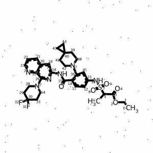 CCOC(=O)C(C)S(=O)(=O)Nc1ccc(C(=O)Nc2cc3cccnc3c(N3CCC(F)(F)CC3)n2)c(N2CCC3(CC2)CC3)c1